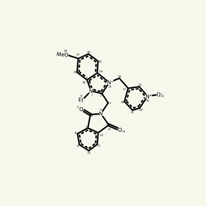 CCn1c(CN2C(=O)c3ccccc3C2=O)[n+](Cc2ccc[n+]([O-])c2)c2ccc(OC)cc21